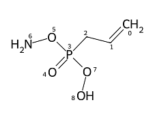 C=CCP(=O)(ON)OO